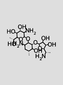 C[C@@H]1CC(N)[C@@H](O[C@H]2OC([C@@H](C)O)[C@@H](O)[C@H](O)C2N)[C@H](O[C@@H]2O[C@H]([C@H](C)N)[C@H](O)C2O)C1O